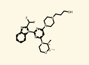 C[C@@H]1OCCN(c2cc(N3CCN(CCCO)CC3)nc(-n3c(C(F)F)nc4ccccc43)n2)[C@H]1C